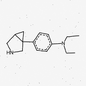 CCN(CC)c1ccc(C23CNCC2C3)cc1